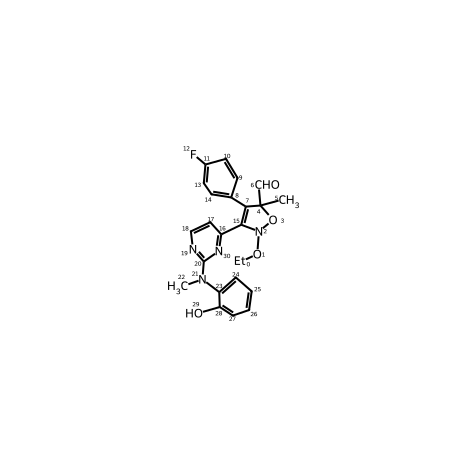 CCON1OC(C)(C=O)C(c2ccc(F)cc2)=C1c1ccnc(N(C)c2ccccc2O)n1